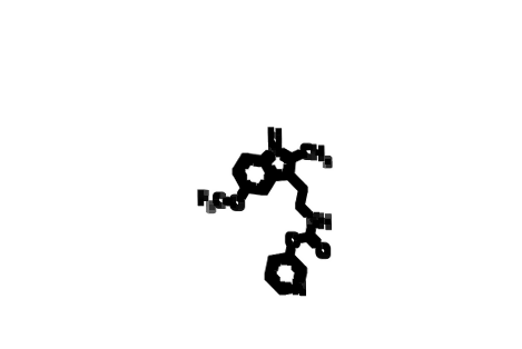 Cc1[nH]c2ccc(OC(F)(F)F)cc2c1CCNC(=O)Oc1cccnc1